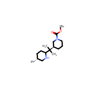 CC(C)[C@@H]1CCC(C(C)(C)[C@@H]2CCCN(C(=O)OC(C)(C)C)C2)NC1